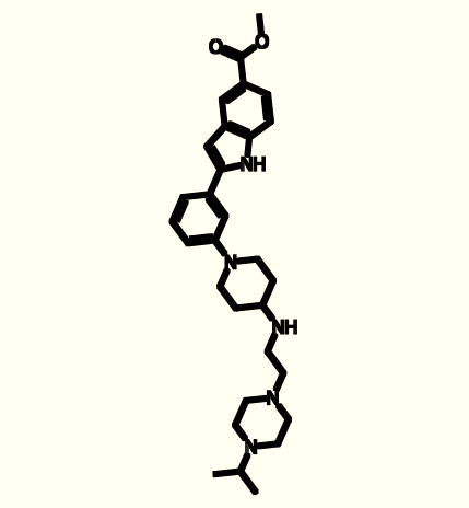 COC(=O)c1ccc2[nH]c(-c3cccc(N4CCC(NCCN5CCN(C(C)C)CC5)CC4)c3)cc2c1